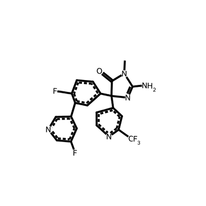 CN1C(=O)C(c2ccnc(C(F)(F)F)c2)(c2ccc(F)c(-c3cncc(F)c3)c2)N=C1N